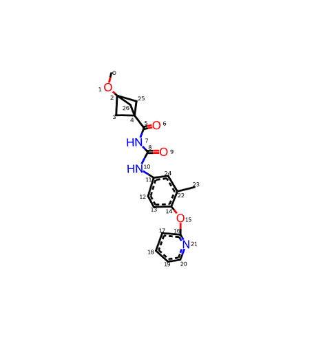 COC12CC(C(=O)NC(=O)Nc3ccc(Oc4ccccn4)c(C)c3)(C1)C2